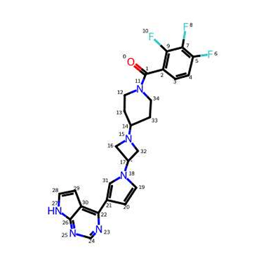 O=C(c1ccc(F)c(F)c1F)N1CCC(N2C[C](n3ccc(-c4ncnc5[nH]ccc45)c3)C2)CC1